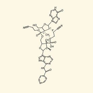 C[C@]1(P(=O)(O)OCCC#N)C(COP(=O)(OCCC#N)[C@@]2(C)C(CO)OC(n3cnc4c(=O)[nH]cnc43)[C@@H]2F)OC(n2cnc3c(NC(=O)c4ccccc4)ncnc32)[C@@H]1F